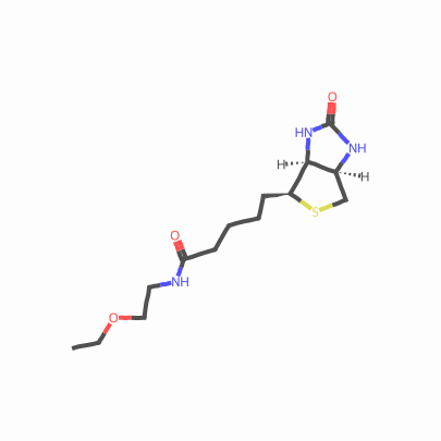 CCOCCNC(=O)CCCC[C@@H]1SC[C@@H]2NC(=O)N[C@@H]21